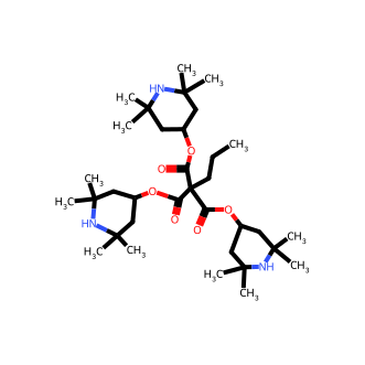 CCCC(C(=O)OC1CC(C)(C)NC(C)(C)C1)(C(=O)OC1CC(C)(C)NC(C)(C)C1)C(=O)OC1CC(C)(C)NC(C)(C)C1